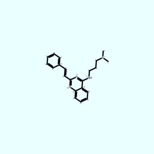 CN(C)CCCNc1nc(/C=C/c2ccccc2)nc2ccccc12